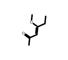 CC/C(=C/C(C)=O)OC